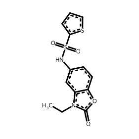 CCn1c(=O)oc2ccc(NS(=O)(=O)c3cccs3)cc21